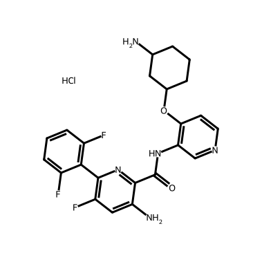 Cl.Nc1cc(F)c(-c2c(F)cccc2F)nc1C(=O)Nc1cnccc1OC1CCCC(N)C1